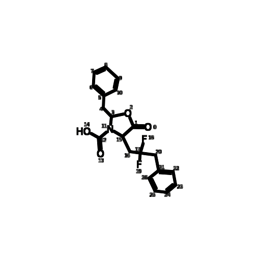 O=C1OC(Cc2ccccc2)N(C(=O)O)C1CC(F)(F)Cc1ccccc1